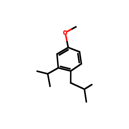 COc1ccc(CC(C)C)c(C(C)C)c1